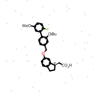 COc1ccc(F)c(-c2ccc(COc3ccc4c(c3)[C@@H](CC(=O)O)CC4)cc2OCC(C)C)c1